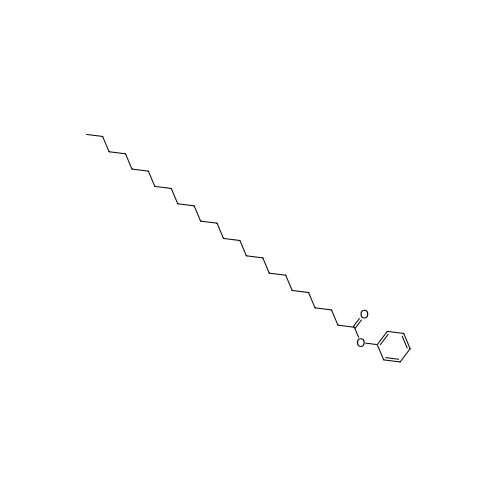 CCCCCCCCCCCCCCCCCCCCCCCC(=O)Oc1ccccc1